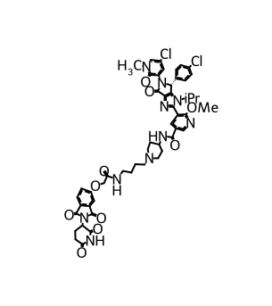 COc1ncc(C(=O)NC2CCN(CCCCNC(=O)COc3ccc4c(c3)C(=O)N(C3CCC(=O)NC3=O)C4=O)CC2)cc1-c1nc2c(n1C(C)C)[C@@H](c1ccc(Cl)cc1)N(c1cc(Cl)cn(C)c1=O)C2=O